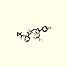 CC1(C(=O)Nc2ncccc2-n2cnc(Cn3nc(-c4ccc(Cl)cc4)n(C[C@H](O)C(F)(F)F)c3=O)n2)CC1